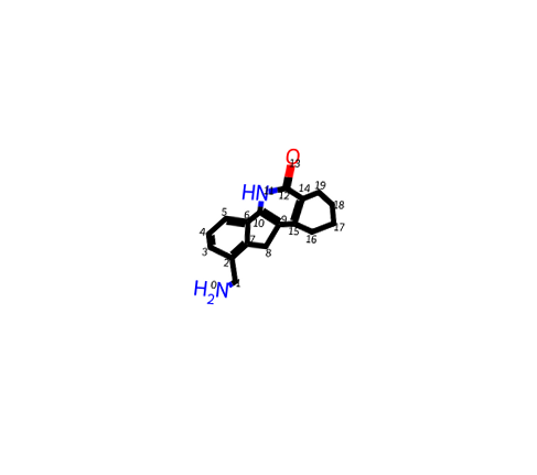 NCc1cccc2c1Cc1c-2[nH]c(=O)c2c1CCCC2